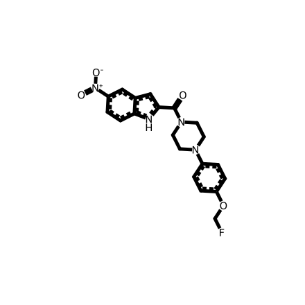 O=C(c1cc2cc([N+](=O)[O-])ccc2[nH]1)N1CCN(c2ccc(OCF)cc2)CC1